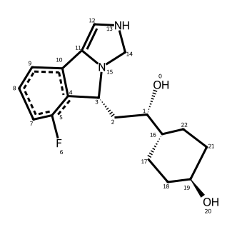 O[C@@H](C[C@@H]1c2c(F)cccc2C2=CNCN21)[C@H]1CC[C@H](O)CC1